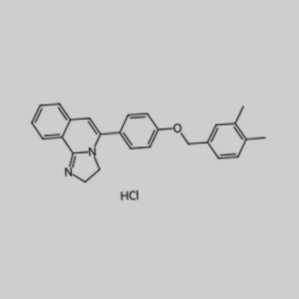 Cc1ccc(COc2ccc(C3=Cc4ccccc4C4=NCCN34)cc2)cc1C.Cl